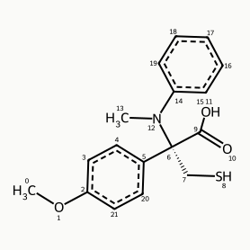 COc1ccc([C@](CS)(C(=O)O)N(C)c2ccccc2)cc1